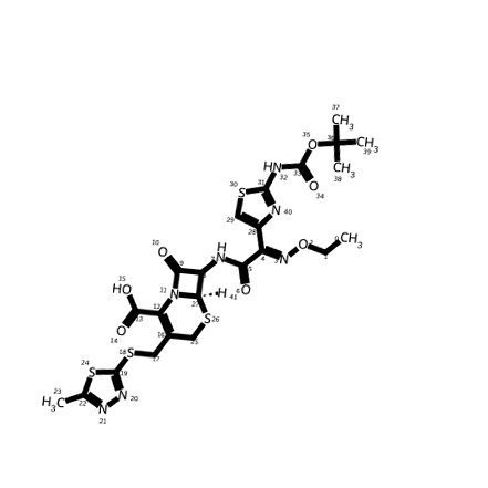 CCO/N=C(/C(=O)NC1C(=O)N2C(C(=O)O)=C(CSc3nnc(C)s3)CS[C@H]12)c1csc(NC(=O)OC(C)(C)C)n1